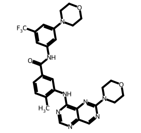 Cc1ccc(C(=O)Nc2cc(N3CCOCC3)cc(C(F)(F)F)c2)cc1Nc1ncnc2cnc(N3CCOCC3)nc12